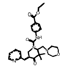 CCOC(=O)c1ccc(NC(=O)N2CC(=Cc3ccccn3)C(=O)C(C)(C)C2CN2CCOCC2)cc1